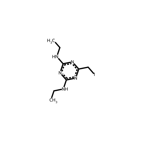 CCNc1nc(CI)nc(NCC)n1